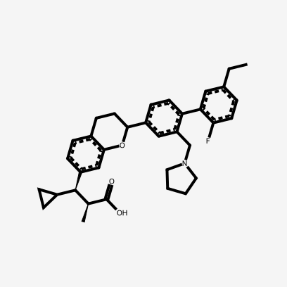 CCc1ccc(F)c(-c2ccc(C3CCc4ccc([C@H](C5CC5)[C@H](C)C(=O)O)cc4O3)cc2CN2CCCC2)c1